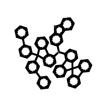 c1ccc(-c2cccc(C3(c4cccc(-c5ccccc5)c4)c4ccccc4-c4c(N(c5ccc6sc7ccccc7c6c5)c5cccc6c5-c5ccccc5C65c6ccccc6-c6ccccc65)cccc43)c2)cc1